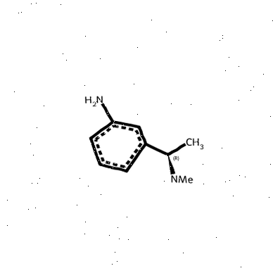 CN[C@H](C)c1cccc(N)c1